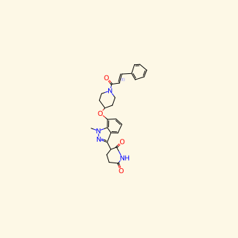 Cn1nc(C2CCC(=O)NC2=O)c2cccc(OC3CCN(C(=O)/C=C/c4ccccc4)CC3)c21